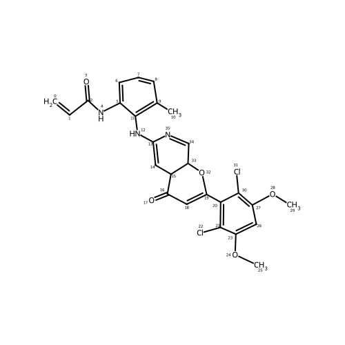 C=CC(=O)Nc1cccc(C)c1NC1=CC2C(=O)C=C(c3c(Cl)c(OC)cc(OC)c3Cl)OC2C=N1